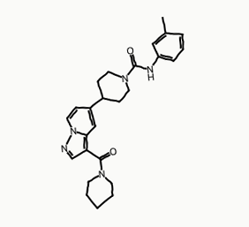 Cc1cccc(NC(=O)N2CCC(c3ccn4ncc(C(=O)N5CCCCC5)c4c3)CC2)c1